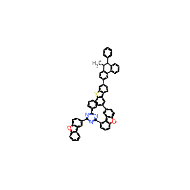 CC1c2ccc(-c3ccc4c(c3)sc3ccc(-c5ccc6oc7cccc(-c8nc(-c9ccccc9)nc(-c9ccc%10oc%11ccccc%11c%10c9)n8)c7c6c5)cc34)cc2-c2ccccc2C1c1ccccc1